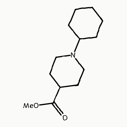 COC(=O)C1CCN(C2CCCCC2)CC1